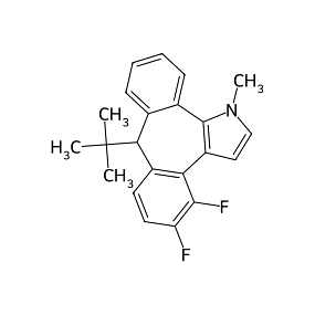 Cn1ccc2c1-c1ccccc1C(C(C)(C)C)c1ccc(F)c(F)c1-2